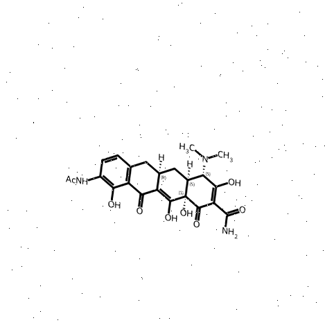 CC(=O)Nc1ccc2c(c1O)C(=O)C1=C(O)[C@]3(O)C(=O)C(C(N)=O)=C(O)[C@@H](N(C)C)[C@@H]3C[C@@H]1C2